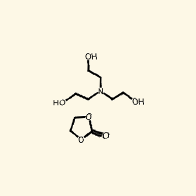 O=C1OCCO1.OCCN(CCO)CCO